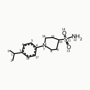 CC(C)c1ccc(N2CCC(S(N)(=O)=O)CC2)cc1